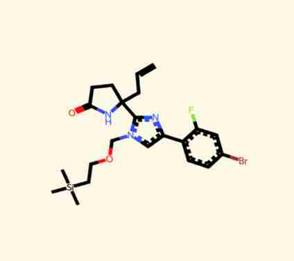 C=CCC1(c2nc(-c3ccc(Br)cc3F)cn2COCC[Si](C)(C)C)CCC(=O)N1